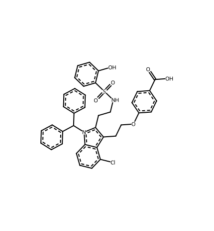 O=C(O)c1ccc(OCCc2c(CCNS(=O)(=O)c3ccccc3O)n(C(c3ccccc3)c3ccccc3)c3cccc(Cl)c23)cc1